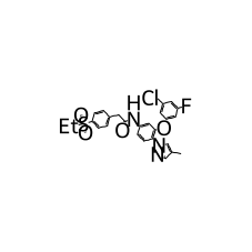 CCS(=O)(=O)c1ccc(CC(=O)Nc2ccc(-n3cc(C)cn3)c(Oc3cc(F)cc(Cl)c3)c2)cc1